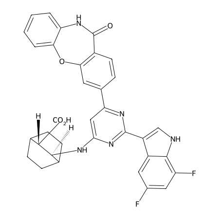 O=C1Nc2ccccc2Oc2cc(-c3cc(N[C@H]4C5CCC(CC5)[C@@H]4C(=O)O)nc(-c4c[nH]c5c(F)cc(F)cc45)n3)ccc21